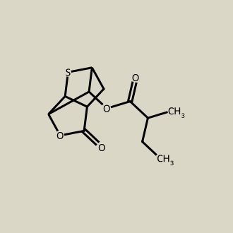 CCC(C)C(=O)OC1C2CC3C(=O)OC1C3S2